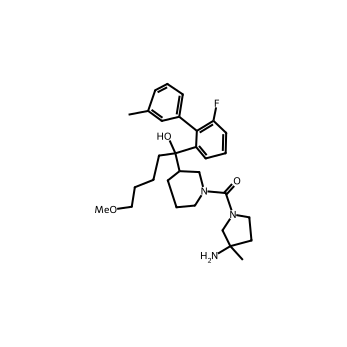 COCCCCC(O)(c1cccc(F)c1-c1cccc(C)c1)C1CCCN(C(=O)N2CCC(C)(N)C2)C1